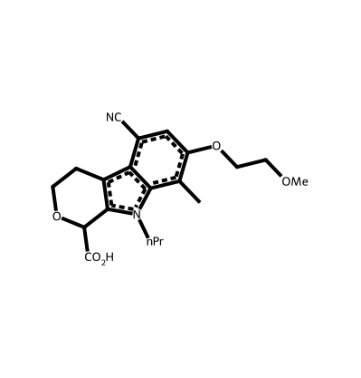 CCCn1c2c(c3c(C#N)cc(OCCOC)c(C)c31)CCOC2C(=O)O